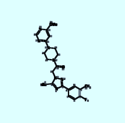 CCCCc1nc(-c2ccc(F)c(C)c2)nn1CC(=O)N1CCN(c2cc(OC)ncn2)CC1